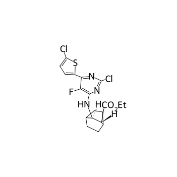 CCOC(=O)[C@@H]1C2CCC(CC2)[C@H]1Nc1nc(Cl)nc(-c2ccc(Cl)s2)c1F